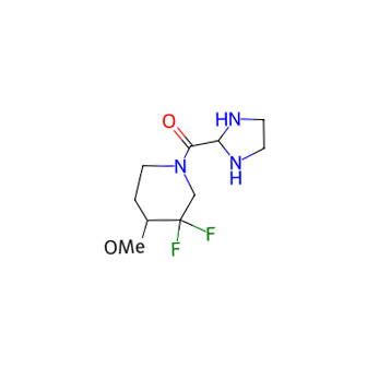 COC1CCN(C(=O)C2NCCN2)CC1(F)F